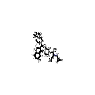 CS(=O)(=O)N1CCN(C(=O)c2cnc3ccc(F)cc3c2N2CCN(C(=O)/C(C#N)=C/C3CC3)CC2)CC1